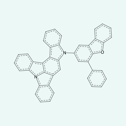 c1ccc(-c2cc(-n3c4ccccc4c4c5c6ccccc6n6c7ccccc7c(cc43)c56)cc3c2oc2ccccc23)cc1